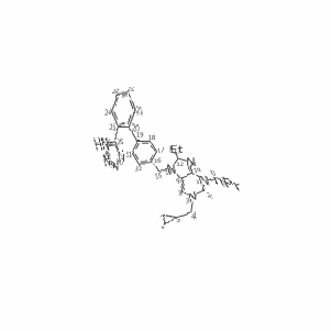 CCCN1CN(CC2CC2)C=C2C1=NC(CC)N2Cc1ccc(-c2ccccc2-c2nnn[nH]2)cc1